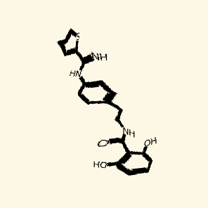 N=C(Nc1ccc(CCNC(=O)c2c(O)cccc2O)cc1)c1cccs1